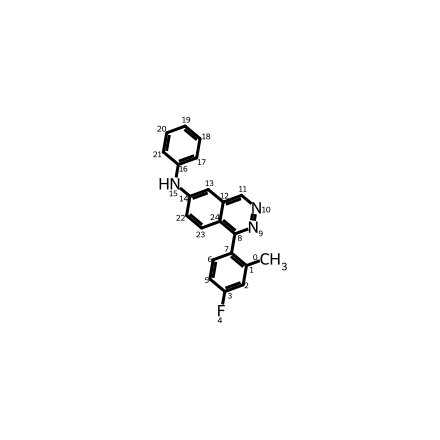 Cc1cc(F)ccc1-c1nncc2cc(Nc3ccccc3)ccc12